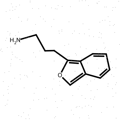 NCCCc1occ2ccccc12